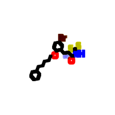 O=C1NC(=S)S/C1=C\c1cc(Br)ccc1OCCCCCc1ccccc1